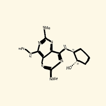 CCCNc1nc(NC)nc2c(N[C@H]3CCC[C@@H]3O)nc(NC)nc12